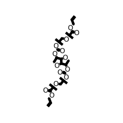 C=CCOC(=O)C(C)(C)OCC(C)(C)OC(=O)OC1COC2C(OC(=O)OC(C)(C)COC(C)(C)C(=O)OCC=C)COC12